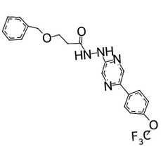 O=C(CCOCc1ccccc1)NNc1cnc(-c2ccc(OC(F)(F)F)cc2)cn1